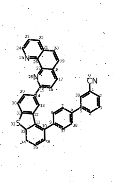 N#Cc1cccc(-c2ccc(C3=C4c5cc(-c6ccc7ccc8cccnc8c7n6)ccc5SC4CC=C3)cc2)c1